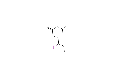 C=C(CCC(I)CC)CC(C)C